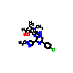 C[C@H](N(C)c1nc2c(-c3cnn(C)c3)nc(-c3ccc(Cl)cc3)cn2n1)C(C)(C)O